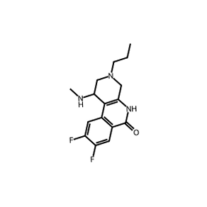 CCCN1Cc2[nH]c(=O)c3cc(F)c(F)cc3c2C(NC)C1